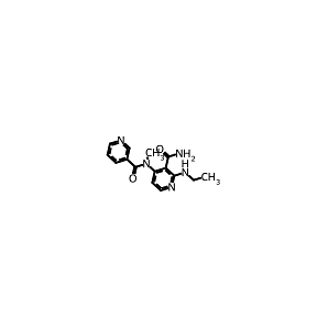 CCNc1nccc(N(C)C(=O)c2cccnc2)c1C(N)=O